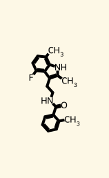 Cc1ccccc1C(=O)NCCc1c(C)[nH]c2c(C)ccc(F)c12